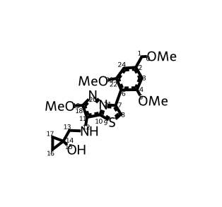 COCc1cc(OC)c(-c2csc3c(NCC4(O)CC4)c(OC)nn23)c(OC)c1